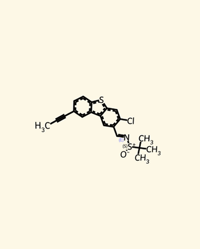 CC#Cc1ccc2sc3cc(Cl)c(/C=N/[S@+]([O-])C(C)(C)C)cc3c2c1